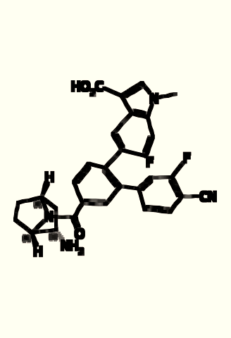 Cn1cc(C(=O)O)c2cc(-c3ccc(C(=O)N4[C@@H]5CC[C@H]4[C@@H](N)C5)cc3-c3ccc(C#N)c(F)c3)c(F)cc21